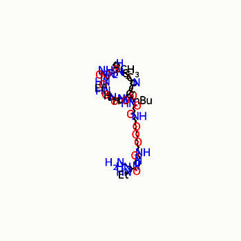 CCCC[C@H](NC(=O)CCC(=O)NCCCOCCOCCOCCCNC(=O)CN1CCN(C(=O)C(CNCC)CNCCN)CC1)C(=O)N[C@H]1CSCc2cncc(c2)CSC[C@@H](C)NC(=O)[C@H](Cc2ccccc2)NC(=O)[C@H](CCC(N)=O)NC(=O)[C@H](CC)NC(=O)[C@@H]2CCCN2C(=O)[C@@H]2CCCN2C1=O